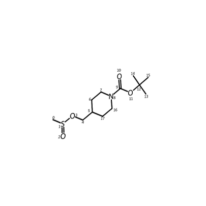 CS(=O)OCC1CCN(C(=O)OC(C)(C)C)CC1